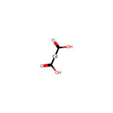 O=[C](O)[Cd][C](=O)O